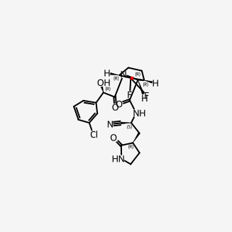 N#C[C@H](C[C@H]1CCNC1=O)NC(=O)[C@H]1[C@H]2CC[C@H](CC2(F)F)N1C(=O)[C@H](O)c1cccc(Cl)c1